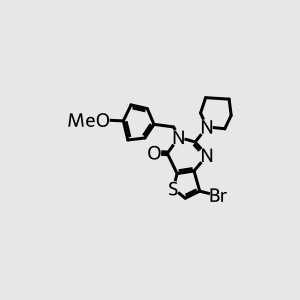 COc1ccc(Cn2c(N3CCCCC3)nc3c(Br)csc3c2=O)cc1